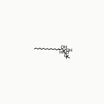 CCCCCCCCCCCCC/C=C/C(O)C(CO)NC(=O)OC(C)(C)C